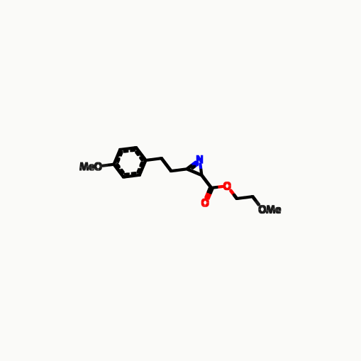 COCCOC(=O)C1N=C1CCc1ccc(OC)cc1